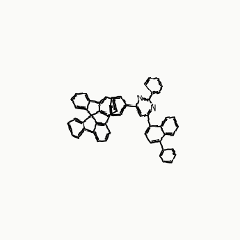 c1ccc(-c2nc(-c3cccc(-c4cccc5c4C4(c6ccccc6-c6ccccc64)c4ccccc4-5)c3)cc(-c3ccc(-c4ccccc4)c4ccccc34)n2)cc1